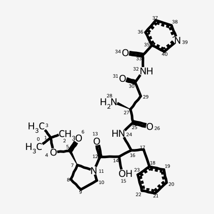 CC(C)(C)OC(=O)[C@@H]1CCCN1C(=O)C(O)C(Cc1ccccc1)NC(=O)[C@@H](N)CC(=O)NC(=O)c1cccnc1